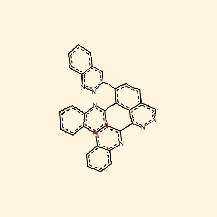 [c]1nnc(-c2cnc3ccccc3n2)c2c(-c3ncc4ccccc4n3)c(-c3cc4ccccc4nn3)ccc12